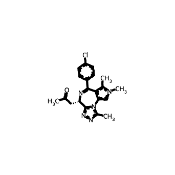 CC(=O)C[C@@H]1N=C(c2ccc(Cl)cc2)c2c(cn(C)c2C)-n2c(C)nnc21